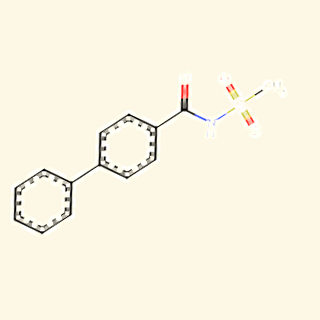 CS(=O)(=O)NC(=O)c1ccc(-c2[c]cccc2)cc1